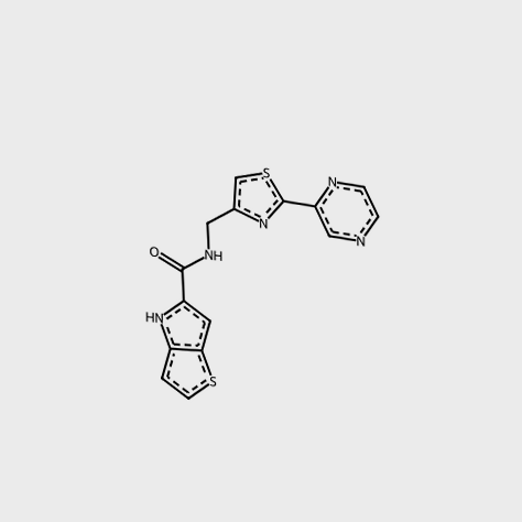 O=C(NCc1csc(-c2cnccn2)n1)c1cc2sccc2[nH]1